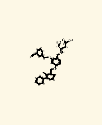 Cc1c(COc2ccc(CN[C@@H](CO)CC(=O)O)c(OCc3cccc(C#N)c3)c2)cccc1-c1ccccc1